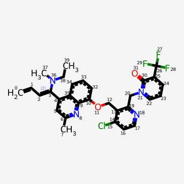 C=C/C=C(/c1cc(C)nc2c(OCc3c(Cl)ccnc3Cn3cccc(C(F)(F)F)c3=O)cccc12)N(C)CC